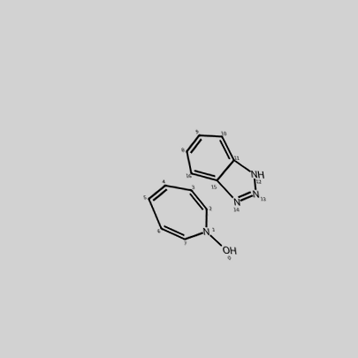 ON1C=CC=CC=C1.c1ccc2[nH]nnc2c1